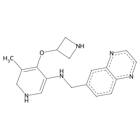 CC1=C(OC2CNC2)C(NCc2ccc3nccnc3c2)=CNC1